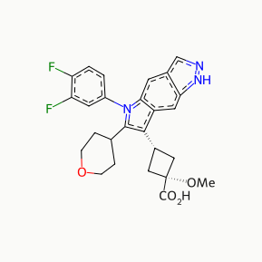 CO[C@]1(C(=O)O)C[C@H](c2c(C3CCOCC3)n(-c3ccc(F)c(F)c3)c3cc4cn[nH]c4cc32)C1